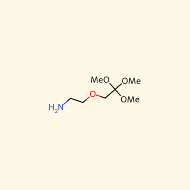 COC(COCCN)(OC)OC